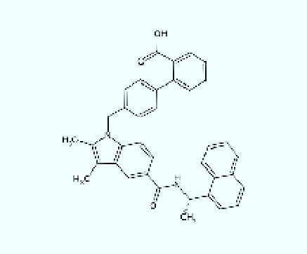 Cc1c(C)n(Cc2ccc(-c3ccccc3C(=O)O)cc2)c2ccc(C(=O)N[C@@H](C)c3cccc4ccccc34)cc12